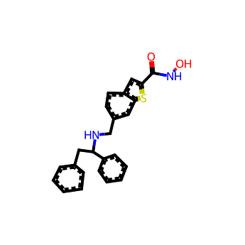 O=C(NO)c1cc2ccc(CNC(Cc3ccccc3)c3ccccc3)cc2s1